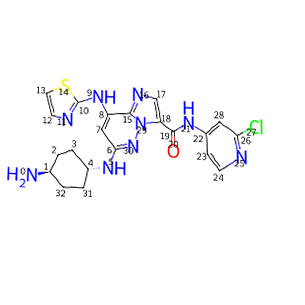 N[C@H]1CC[C@H](Nc2cc(Nc3nccs3)c3ncc(C(=O)Nc4ccnc(Cl)c4)n3n2)CC1